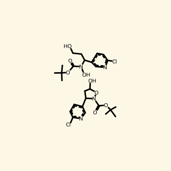 CC(C)(C)OC(=O)N(O)C(CCO)c1ccc(Cl)nc1.CC(C)(C)OC(=O)N1OC(O)CC1c1ccc(Cl)nc1